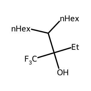 CCCCCCC(CCCCCC)C(O)(CC)C(F)(F)F